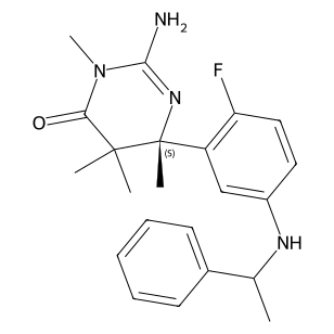 CC(Nc1ccc(F)c([C@@]2(C)N=C(N)N(C)C(=O)C2(C)C)c1)c1ccccc1